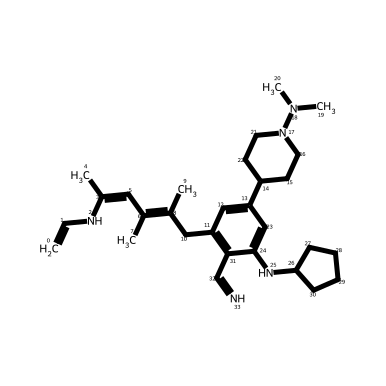 C=CN/C(C)=C\C(C)=C(/C)Cc1cc(C2CCN(N(C)C)CC2)cc(NC2CCCC2)c1C=N